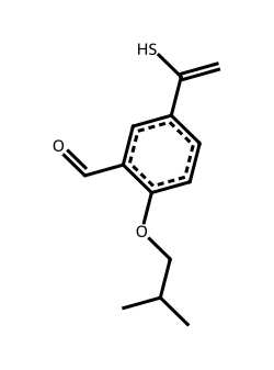 C=C(S)c1ccc(OCC(C)C)c(C=O)c1